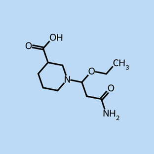 CCOC(CC(N)=O)N1CCCC(C(=O)O)C1